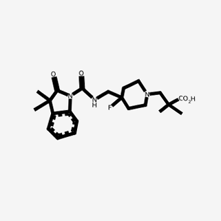 CC(C)(CN1CCC(F)(CNC(=O)N2C(=O)C(C)(C)c3ccccc32)CC1)C(=O)O